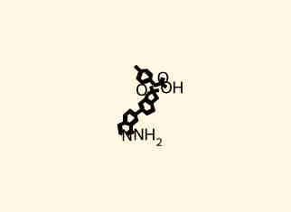 Cc1ccc(CC(=O)O)c(OC2c3cc(-c4ccc5ccnc(N)c5c4)ccc3CC2(C)C)c1